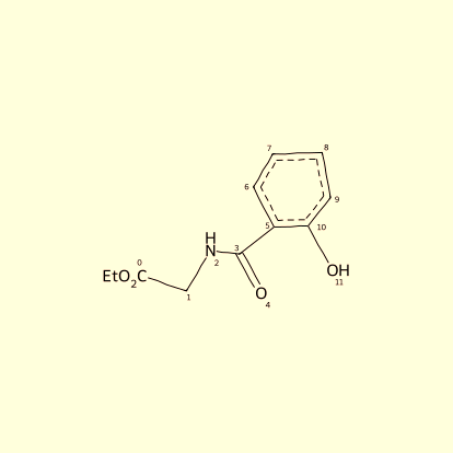 CCOC(=O)CNC(=O)c1ccccc1O